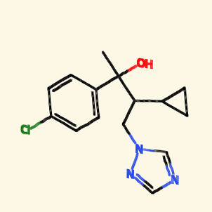 CC(O)(c1ccc(Cl)cc1)C(Cn1cncn1)C1CC1